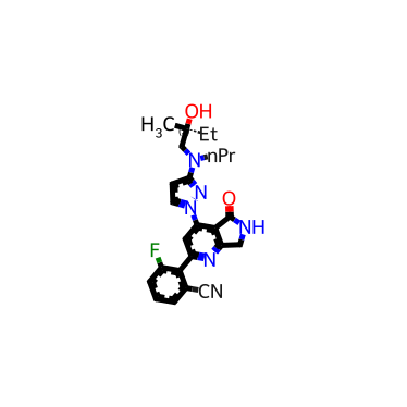 CCCN(C[C@@](C)(O)CC)c1ccn(-c2cc(-c3c(F)cccc3C#N)nc3c2C(=O)NC3)n1